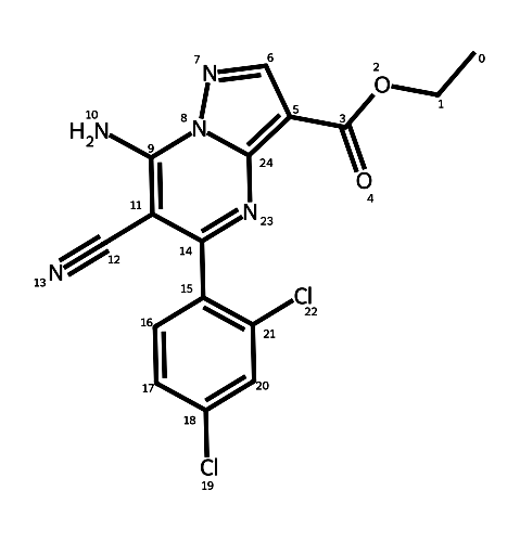 CCOC(=O)c1cnn2c(N)c(C#N)c(-c3ccc(Cl)cc3Cl)nc12